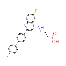 Cc1ccc(-c2ccc(-c3cc(NCCCC(=O)O)c4cc(F)ccc4n3)cc2)cc1